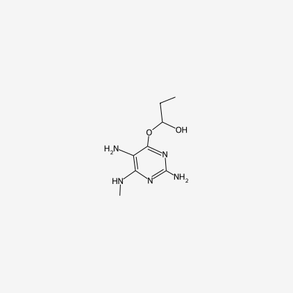 CCC(O)Oc1nc(N)nc(NC)c1N